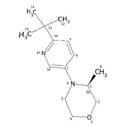 C[C@H]1COCCN1c1ccc(C(C)(C)C)nc1